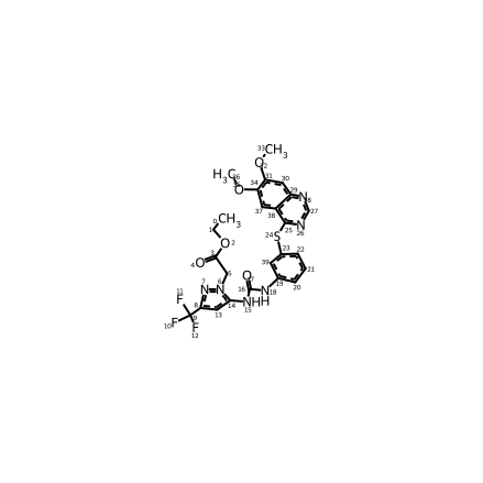 CCOC(=O)Cn1nc(C(F)(F)F)cc1NC(=O)Nc1cccc(Sc2ncnc3cc(OC)c(OC)cc23)c1